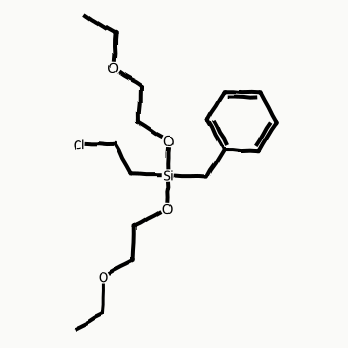 CCOCCO[Si](CCCl)(Cc1ccccc1)OCCOCC